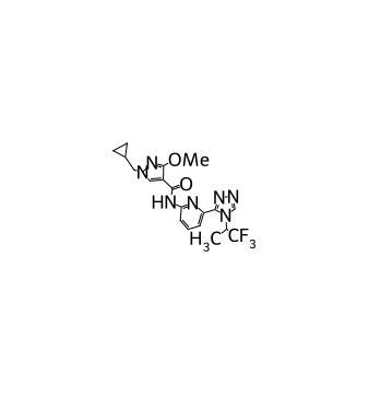 COc1nn(CC2CC2)cc1C(=O)Nc1cccc(-c2nncn2C(C)C(F)(F)F)n1